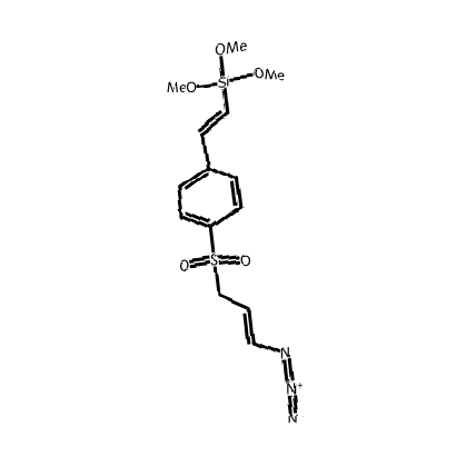 CO[Si](C=Cc1ccc(S(=O)(=O)CC=CN=[N+]=[N-])cc1)(OC)OC